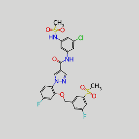 CS(=O)(=O)Nc1cc(Cl)cc(NC(=O)c2cnn(-c3ccc(F)cc3OCc3cc(F)cc(S(C)(=O)=O)c3)c2)c1